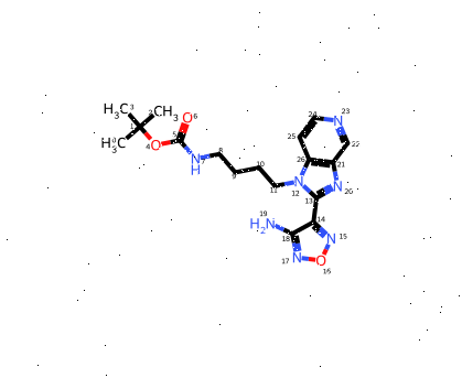 CC(C)(C)OC(=O)NCCCCn1c(-c2nonc2N)nc2cnccc21